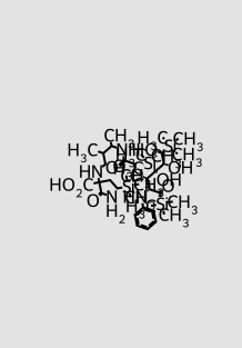 CC(NC(=O)CO[C@H]([C@@H](Nc1ccccc1)C(=O)[Si](C)(C)C)[C@](O)([C@H](O)C(O)[Si](C)(C)C)[Si](C)(C)C)C(C)C(=O)NC(CC[Si](C)(C)C)(C(N)=O)C(=O)O